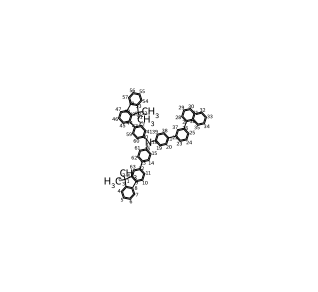 CC1(C)c2ccccc2-c2ccc(-c3ccc(N(c4ccc(-c5cccc(-c6cccc7ccccc67)c5)cc4)c4ccc(-c5cccc6c5C(C)(C)c5ccccc5-6)cc4)cc3)cc21